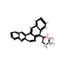 c1ccc2cc3c(ccc4c(C5C[SiH2][SiH2][SiH2]O5)c5ccccc5cc43)cc2c1